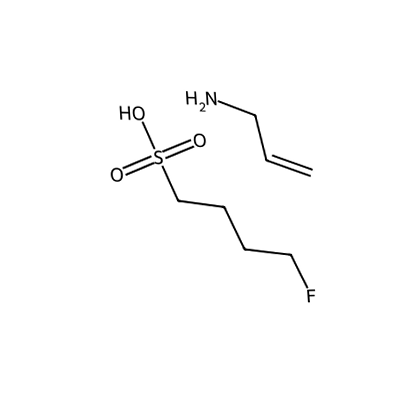 C=CCN.O=S(=O)(O)CCCCF